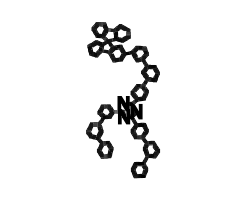 c1ccc(-c2cccc(-c3ccc(-c4nc(-c5ccc(-c6cccc(-c7cccc(-c8ccc9c(c8)C8(c%10ccccc%10-c%10ccccc%108)c8ccccc8-9)c7)c6)cc5)nc(-c5cccc(-c6cccc(-c7ccccc7)c6)c5)n4)cc3)c2)cc1